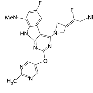 CNc1cc(F)cc2c1[nH]c1nc(Oc3cnc(C)nc3)nc(N3CC(=C(F)CN)C3)c12